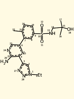 CCn1cc(-c2nc(-c3cc(S(=O)(=O)NCC(C)(C)O)ccc3C)cnc2N)nn1